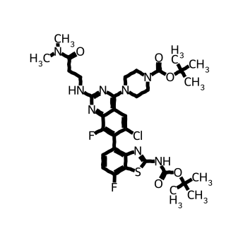 CN(C)C(=O)CCNc1nc(N2CCN(C(=O)OC(C)(C)C)CC2)c2cc(Cl)c(-c3ccc(F)c4sc(NC(=O)OC(C)(C)C)nc34)c(F)c2n1